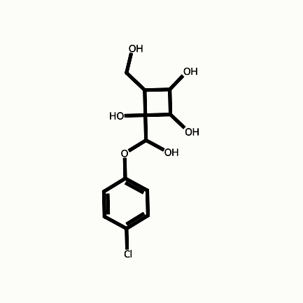 OCC1C(O)C(O)C1(O)C(O)Oc1ccc(Cl)cc1